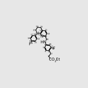 CCOC(=O)CCc1ccc(NCc2ccc3c(n2)N(c2ccc(F)cc2)CCC3)cc1F